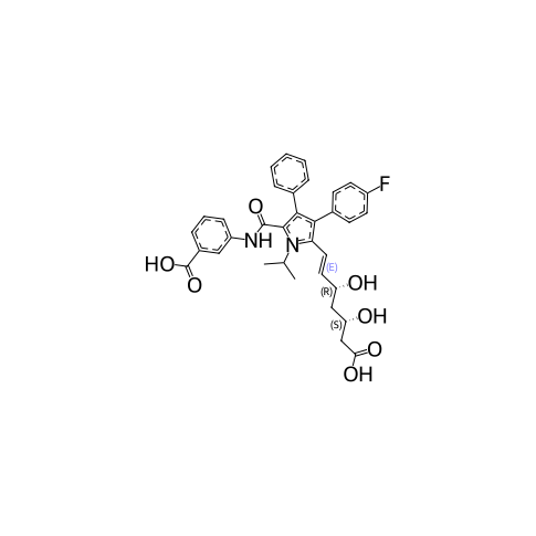 CC(C)n1c(/C=C/[C@H](O)C[C@H](O)CC(=O)O)c(-c2ccc(F)cc2)c(-c2ccccc2)c1C(=O)Nc1cccc(C(=O)O)c1